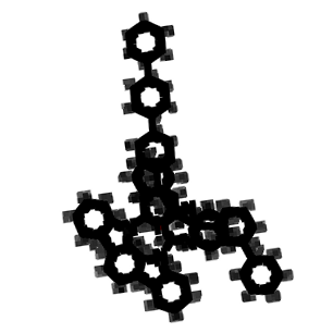 c1ccc(-c2ccc(-c3ccc(-c4cc(-c5ccccc5)cc(-n5c6ccccc6c6ccc7c8ccccc8n(-c8nc(-c9ccccc9)nc(-c9cccc(-c%10ccccc%10)c9)n8)c7c65)c4)cc3)cc2)cc1